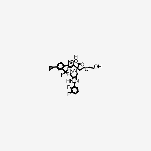 O=C(O)C(CCOCCO)(c1cc(-c2ccc(C3CC3)cc2C(F)(F)F)no1)N1Cc2nc(-c3cccc(F)c3F)[nH]c2C=N1